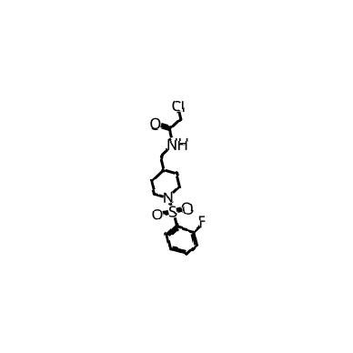 O=C(CCl)NCC1CCN(S(=O)(=O)c2ccccc2F)CC1